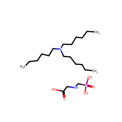 CCCCCCN(CCCCCC)CCCCCC.O=C(O)CNCP(=O)(O)O